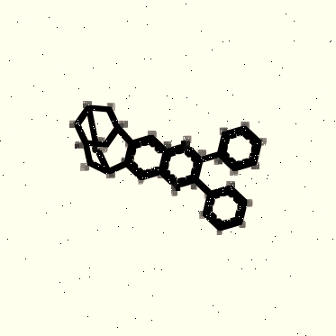 c1ccc(-c2nc3cc4c(cc3nc2-c2ccccc2)C2CC3CC(CC4C3)C2)cc1